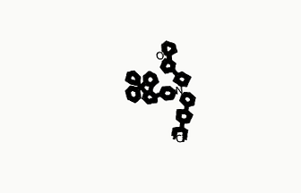 c1ccc(-c2ccc(-c3cccc(N(c4ccc(-c5cccc6c5-c5ccccc5C6(c5ccccc5)c5ccccc5)cc4)c4cccc(-c5ccc6oc7ccccc7c6c5)c4)c3)cc2)cc1